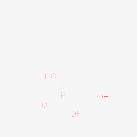 O=P(O)(O)C(O)Cc1ccccc1